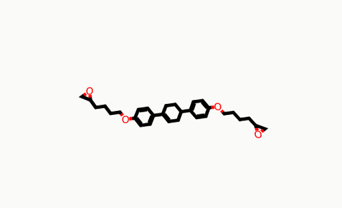 C1=C(c2ccc(OCCCCC3CO3)cc2)CCC(c2ccc(OCCCCC3CO3)cc2)C1